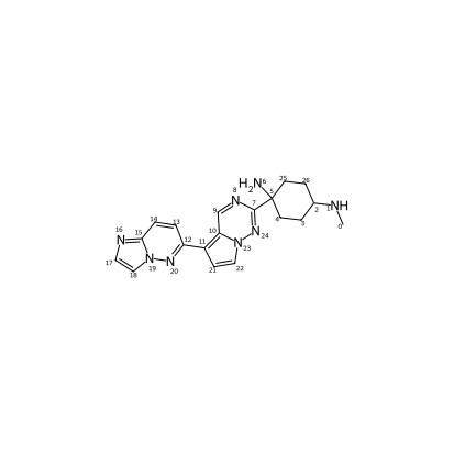 CNC1CCC(N)(c2ncc3c(-c4ccc5nccn5n4)ccn3n2)CC1